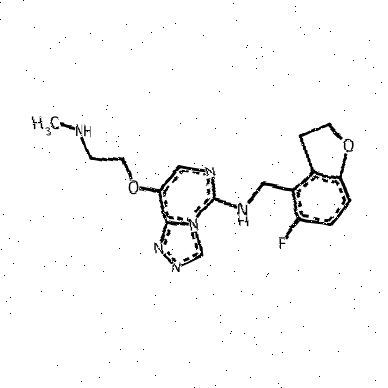 CNCCOc1cnc(NCc2c(F)ccc3c2CCO3)n2cnnc12